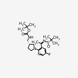 C/C(=N/[S@+]([O-])C(C)(C)C)c1cc(F)cnc1N1CC[C@H](CNC(=O)OC(C)(C)C)C1